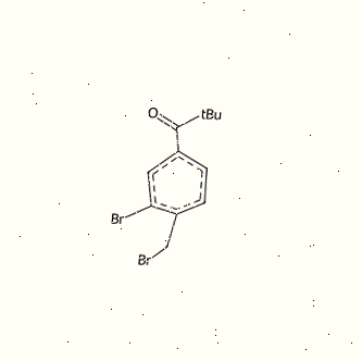 CC(C)(C)C(=O)c1ccc(CBr)c(Br)c1